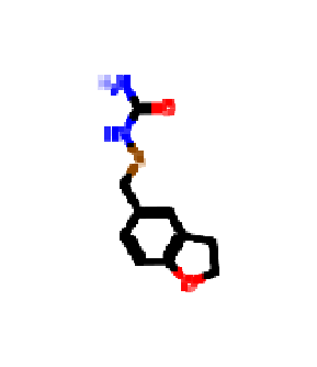 NC(=O)NSCc1ccc2c(c1)CCO2